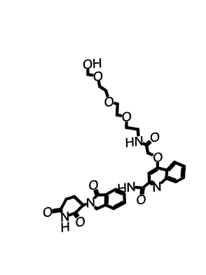 O=C(COc1cc(C(=O)Nc2ccc3c(c2)C(=O)N(C2CCC(=O)NC2=O)C3)nc2ccccc12)NCCOCCOCCOCO